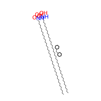 CCCCCCCCCCCCCCCCCCCCCCCCCCCCCCCCCCCCCCCCCCNC(=O)O.CCCCCCCCCCCCCCCCCCCCCCCCCCCCCCCCCCCCCCCCCCNC(=O)O.c1ccc(Cc2ccccc2)cc1